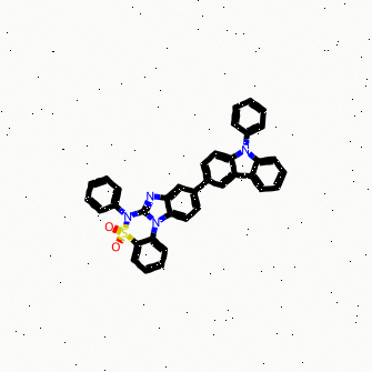 O=S1(=O)c2ccccc2-n2c(nc3cc(-c4ccc5c(c4)c4ccccc4n5-c4ccccc4)ccc32)N1c1ccccc1